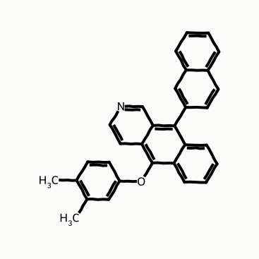 Cc1ccc(Oc2c3ccccc3c(-c3ccc4ccccc4c3)c3cnccc23)cc1C